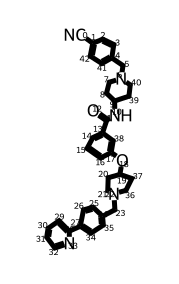 N#Cc1ccc(CN2CCC(NC(=O)c3cccc(OC4CCN(Cc5ccc(-c6ccccn6)cc5)CC4)c3)CC2)cc1